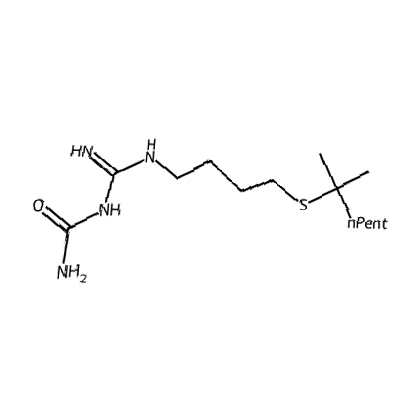 CCCCCC(C)(C)SCCCCNC(=N)NC(N)=O